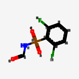 O=[C]NS(=O)(=O)c1c(F)cccc1F